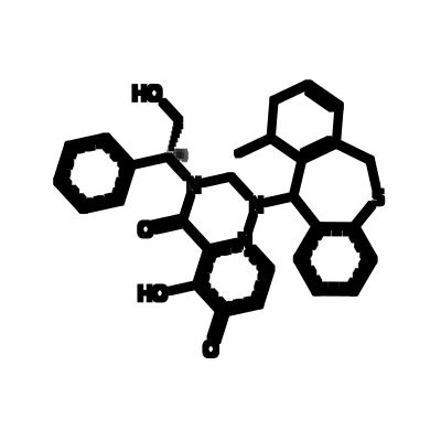 CC1CC=CC2=C1C(N1CN([C@@H](CO)c3ccccc3)C(=O)c3c(O)c(=O)ccn31)c1ccccc1SC2